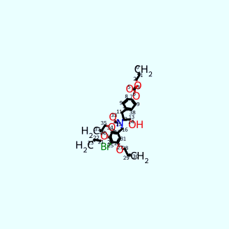 C=CCOC(=O)Oc1ccc(CC(CO)N(Cc2cc(OCC=C)c(Br)c(OCC=C)c2)C(=O)OCC=C)cc1